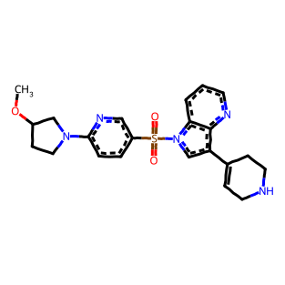 COC1CCN(c2ccc(S(=O)(=O)n3cc(C4=CCNCC4)c4ncccc43)cn2)C1